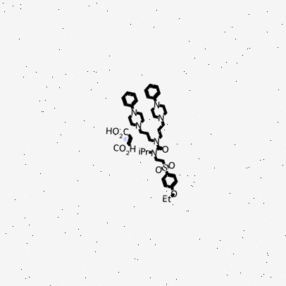 CCOc1ccc(S(=O)(=O)CCN(C(=O)N(CCCN2CCN(c3ccccc3)CC2)CCCN2CCN(c3ccccc3)CC2)C(C)C)cc1.O=C(O)/C=C/C(=O)O